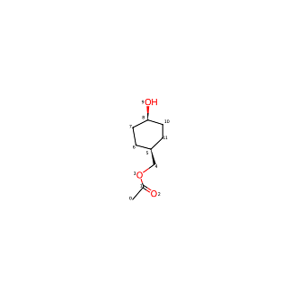 CC(=O)OC[C@H]1CC[C@@H](O)CC1